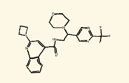 O=C(NCC(c1cnc(C(F)(F)F)nc1)N1CCOCC1)c1cc(N2CCC2)nc2ccccc12